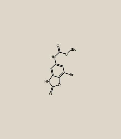 CC(C)(C)OC(=O)Nc1cc(Br)c2oc(=O)[nH]c2c1